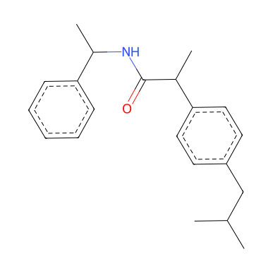 CC(C)Cc1ccc(C(C)C(=O)NC(C)c2ccccc2)cc1